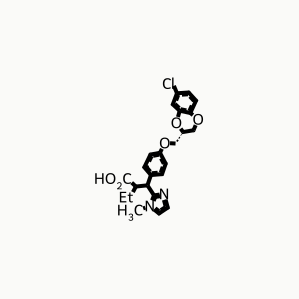 CCC(C(=O)O)C(c1ccc(OC[C@H]2COc3ccc(Cl)cc3O2)cc1)c1nccn1C